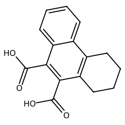 O=C(O)c1c2c(c3ccccc3c1C(=O)O)CCCC2